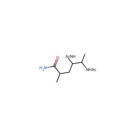 CC(=O)NC(C)C(CC(C)C(N)=O)NC(C)=O